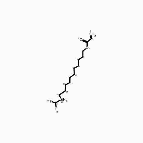 C=CC(=O)OCCCCCCCCCCC[SiH2]C(F)F